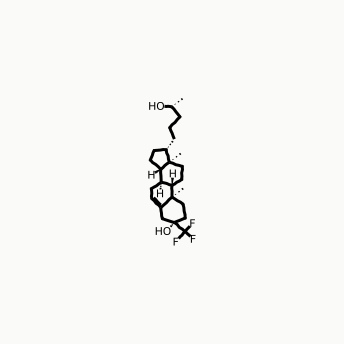 C[C@@H](O)CCC[C@H]1CC[C@H]2[C@@H]3CC=C4C[C@](O)(C(F)(F)F)CC[C@]4(C)[C@H]3CC[C@]12C